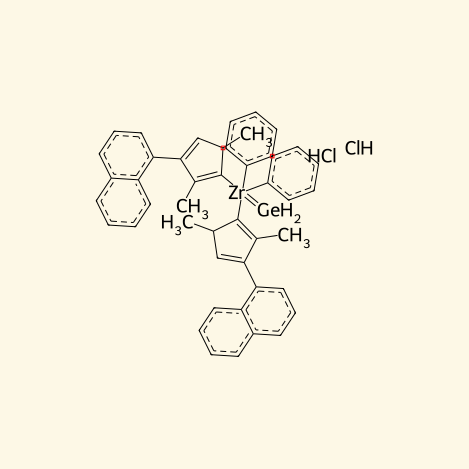 CC1=[C]([Zr](=[GeH2])([C]2=C(C)C(c3cccc4ccccc34)=CC2C)([c]2ccccc2)[c]2ccccc2)C(C)C=C1c1cccc2ccccc12.Cl.Cl